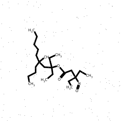 CCCCCC(C)(CCCC)CC(CC)(CC)OC(=O)CC(CC)(CC)N=O